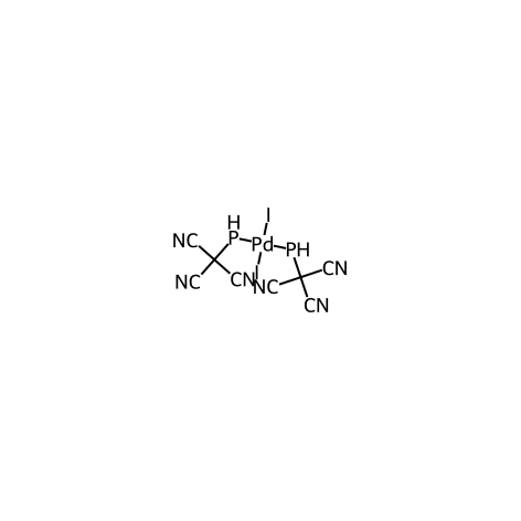 N#CC(C#N)(C#N)[PH][Pd]([I])([I])[PH]C(C#N)(C#N)C#N